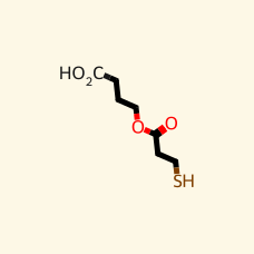 O=C(O)CCCOC(=O)CCS